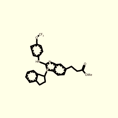 COC(=O)CCc1ccc2c(c1)nc(Nc1ccc(OC(F)(F)F)cc1)n2C1CCc2ccccc21